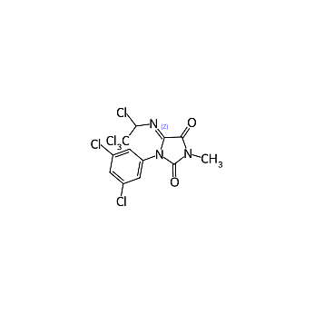 CN1C(=O)/C(=N/C(Cl)C(Cl)(Cl)Cl)N(c2cc(Cl)cc(Cl)c2)C1=O